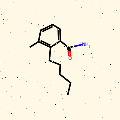 CCCCCc1c(C)cccc1C(N)=O